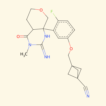 CN1C(=N)NC2(c3cc(OCC45CC(C#N)(C4)C5)ccc3F)COCCC2C1=O